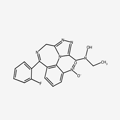 CCN(O)Cc1nnc2n1-c1c(cccc1[N+](=O)[O-])C(c1ccccc1F)=NC2